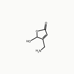 NCC1=CC(=O)OC1O